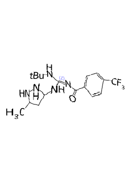 CC1CC(N/C(=N\C(=O)c2ccc(C(F)(F)F)cc2)NC(C)(C)C)NN1